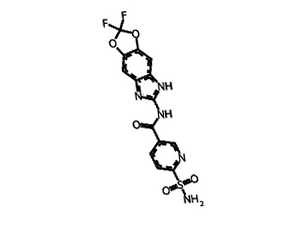 NS(=O)(=O)c1ccc(C(=O)Nc2nc3cc4c(cc3[nH]2)OC(F)(F)O4)cn1